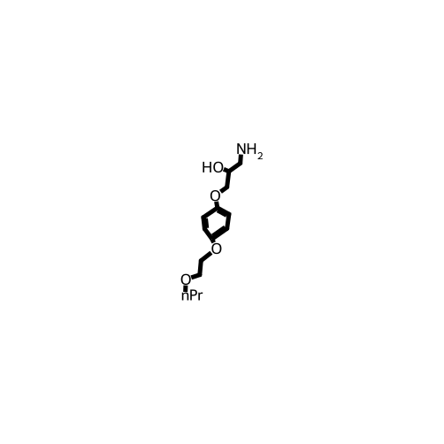 CCCOCCOc1ccc(OCC(O)CN)cc1